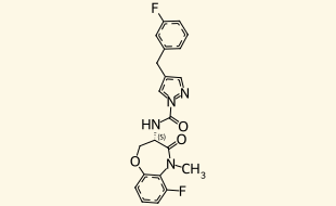 CN1C(=O)[C@@H](NC(=O)n2cc(Cc3cccc(F)c3)cn2)COc2cccc(F)c21